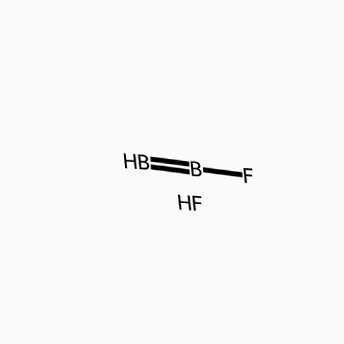 B=BF.F